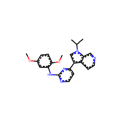 COc1ccc(OC)c(Nc2nccc(-c3cn(C(C)C)c4cnccc34)n2)c1